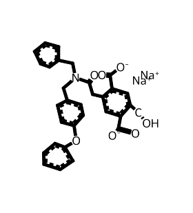 O=C([O-])c1cc(CC(=O)N(Cc2ccccc2)Cc2ccc(Oc3ccccc3)cc2)c(C(=O)[O-])cc1CO.[Na+].[Na+]